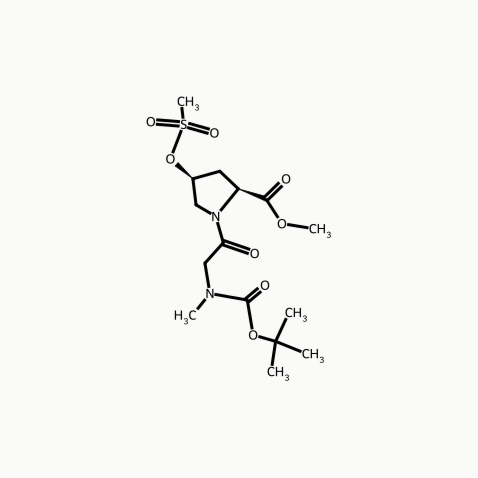 COC(=O)[C@@H]1C[C@H](OS(C)(=O)=O)CN1C(=O)CN(C)C(=O)OC(C)(C)C